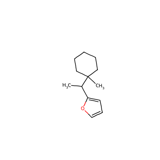 CC(c1ccco1)C1(C)CCCCC1